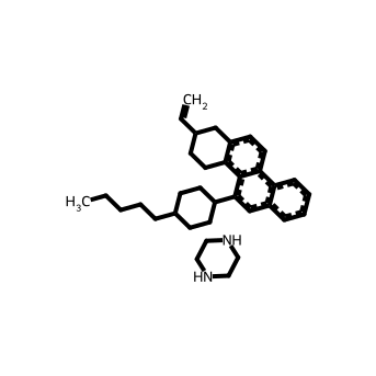 C1CNCCN1.C=CC1CCc2c(ccc3c2c(C2CCC(CCCCC)CC2)cc2ccccc23)C1